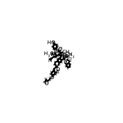 COC[C@@H]1Cc2ccccc2CN1C(=O)c1cc2c(cc1-c1c(-c3cc(C#N)n(C)c3C)c(C(=O)Nc3ccc(O)cc3)c(C)n1C)CCN(C(=O)Cc1ccc(OCCC3CCO3)cc1F)C2